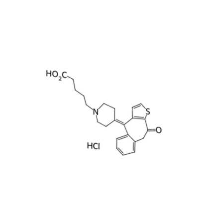 Cl.O=C(O)CCCCN1CCC(=C2c3ccccc3CC(=O)c3sccc32)CC1